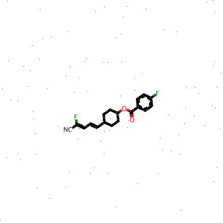 N#CC(F)=CC=CC1CCC(OC(=O)c2ccc(F)cc2)CC1